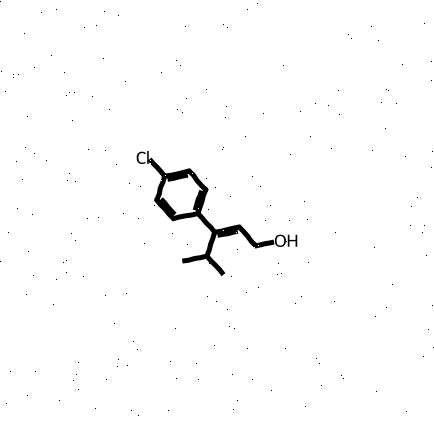 CC(C)C(=CCO)c1ccc(Cl)cc1